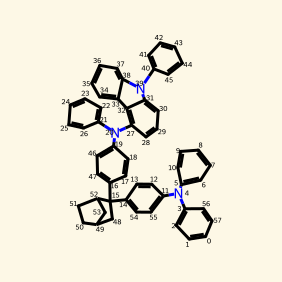 c1ccc(N(c2ccccc2)c2ccc(C3(c4ccc(N(c5ccccc5)c5cccc6c5c5ccccc5n6-c5ccccc5)cc4)CC4CCC3C4)cc2)cc1